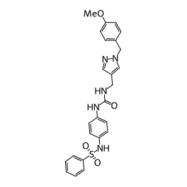 COc1ccc(Cn2cc(CNC(=O)Nc3ccc(NS(=O)(=O)c4ccccc4)cc3)cn2)cc1